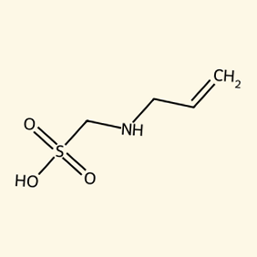 C=CCNCS(=O)(=O)O